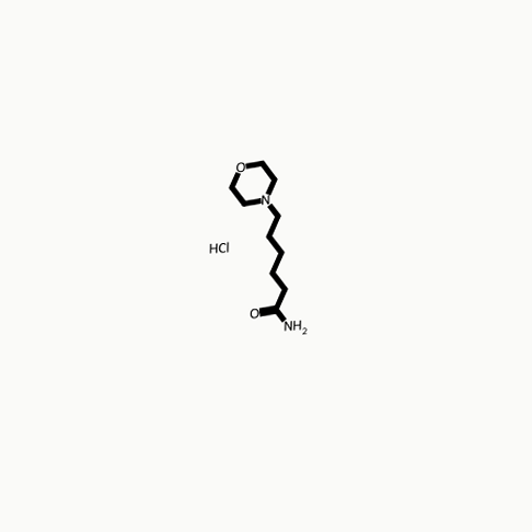 Cl.NC(=O)CCCCCN1CCOCC1